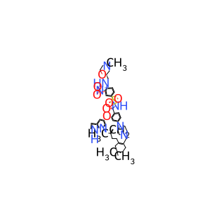 C=C(C)CCC1=C(CN2CCN(c3ccc(C(=O)NS(=O)(=O)c4ccc(NC[C@@H]5CN(C)CCO5)c([N+](=O)[O-])c4)c(Oc4cnc5[nH]ccc5c4)c3)CC2)CCC(C)(C)C1